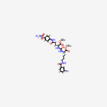 CC(C)(C)OC(=O)[C@H](CCCCNC(=O)c1cccc(I)c1)NC(=O)N[C@@H](CCC(=O)Nc1ccc(S(N)(=O)=O)cc1)C(=O)OC(C)(C)C